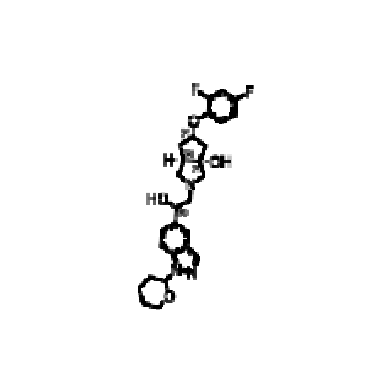 O[C@@H](CN1C[C@H]2C[C@H](Oc3ccc(F)cc3F)C[C@@]2(O)C1)c1ccc2c(cnn2C2CCCCO2)c1